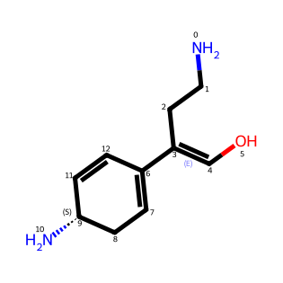 NCC/C(=C\O)C1=CC[C@H](N)C=C1